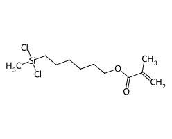 C=C(C)C(=O)OCCCCCC[Si](C)(Cl)Cl